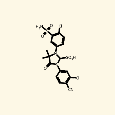 CC1(C)C(=O)N(c2ccc(C#N)c(Cl)c2)C(S(=O)(=O)O)N1c1ccc(Cl)c(S(N)(=O)=O)c1